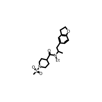 CCN(C(=O)C1CCN(S(C)(=O)=O)CC1)C(C)Cc1ccc2c(c1)CCO2